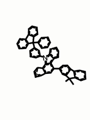 CC1(C)c2ccccc2-c2ccc(-c3cc4c(c5c3c3ccccc3n5-c3cccc(C5(c6ccccc6)c6ccccc6-c6ccccc65)c3)C3C=CC4S3)cc21